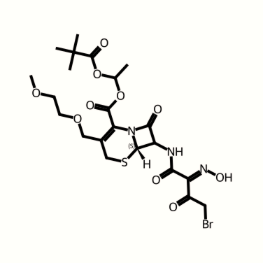 COCCOCC1=C(C(=O)OC(C)OC(=O)C(C)(C)C)N2C(=O)C(NC(=O)C(=NO)C(=O)CBr)[C@@H]2SC1